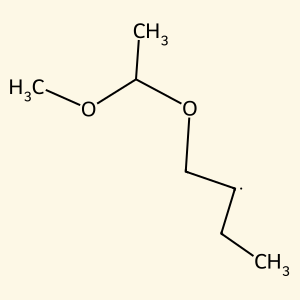 CC[CH]COC(C)OC